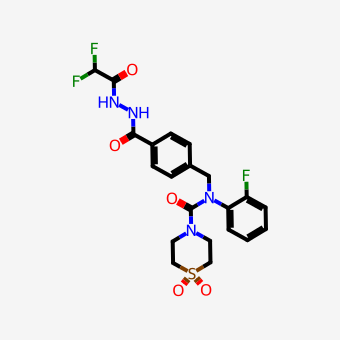 O=C(NNC(=O)C(F)F)c1ccc(CN(C(=O)N2CCS(=O)(=O)CC2)c2ccccc2F)cc1